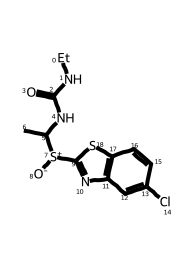 CCNC(=O)NC(C)[S+]([O-])c1nc2cc(Cl)ccc2s1